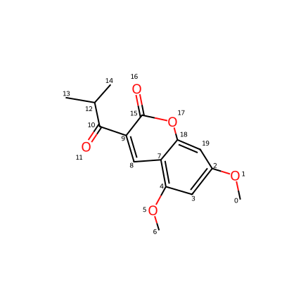 COc1cc(OC)c2cc(C(=O)C(C)C)c(=O)oc2c1